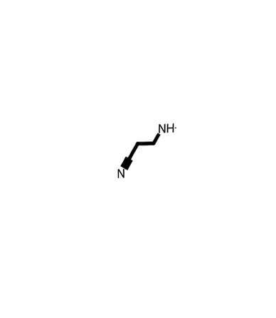 N#CCC[NH]